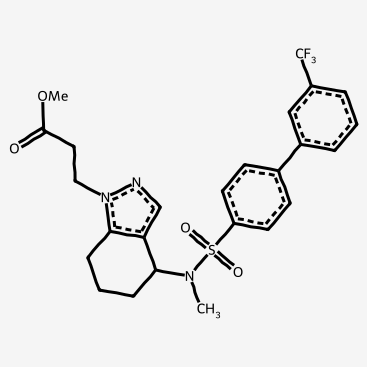 COC(=O)CCn1ncc2c1CCCC2N(C)S(=O)(=O)c1ccc(-c2cccc(C(F)(F)F)c2)cc1